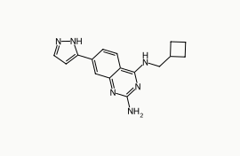 Nc1nc(NCC2CCC2)c2ccc(-c3ccn[nH]3)cc2n1